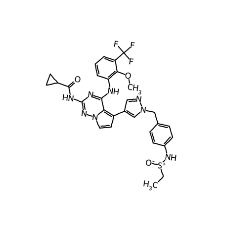 CC[S+]([O-])Nc1ccc(Cn2cc(-c3ccn4nc(NC(=O)C5CC5)nc(Nc5cccc(C(F)(F)F)c5OC)c34)cn2)cc1